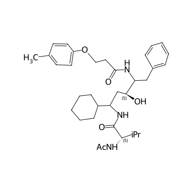 CC(=O)N[C@H](C(=O)NC(C[C@H](O)C(Cc1ccccc1)NC(=O)CCOc1ccc(C)cc1)C1CCCCC1)C(C)C